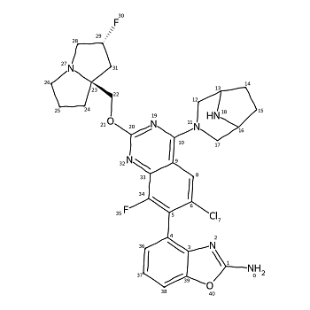 Nc1nc2c(-c3c(Cl)cc4c(N5CC6CCC(C5)N6)nc(OC[C@@]56CCCN5C[C@H](F)C6)nc4c3F)cccc2o1